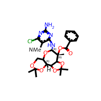 CNc1c(Cl)nc(N)nc1N[C@@H]1OC2COC(C)(C)O[C@H]2C2OC(C)(C)OC2[C@@]1(C)OC(=O)c1ccccc1